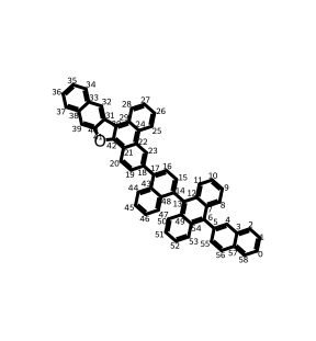 c1ccc2cc(-c3c4ccccc4c(-c4ccc(-c5ccc6c(c5)c5ccccc5c5c7cc8ccccc8cc7oc65)c5ccccc45)c4ccccc34)ccc2c1